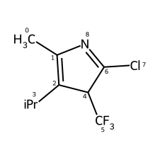 CC1=C(C(C)C)C(C(F)(F)F)C(Cl)=N1